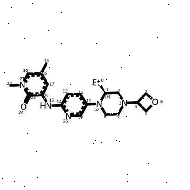 CC[C@H]1CN(C2COC2)CCN1c1ccc(Nc2cc(C)cn(C)c2=O)nc1